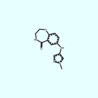 Cn1cc(Nc2ccc3c(c2)C(=O)NCCO3)cn1